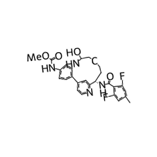 COC(=O)Nc1ccc2c(c1)NC(O)CCCC[C@H](NC(=O)c1c(F)cc(C)cc1F)c1cc-2ccn1